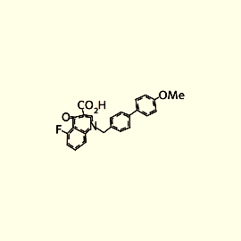 COc1ccc(-c2ccc(Cn3cc(C(=O)O)c(=O)c4c(F)cccc43)cc2)cc1